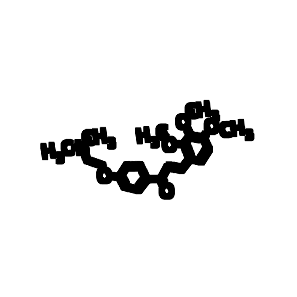 COc1ccc(/C=C/C(=O)c2ccc(OCCN(C)C)cc2)c(OC)c1OC